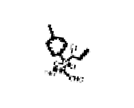 C=C[C@H](CC)S(=O)(NC=O)(OC(C)(C)C)c1ccc(C)cc1